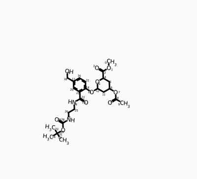 COC(=O)C1CC(OC(C)=O)CC(Oc2ccc(CO)cc2C(=O)NCCNC(=O)OC(C)(C)C)O1